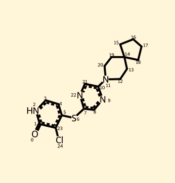 O=c1[nH]ccc(Sc2cnc(N3CCC4(CCCC4)CC3)cn2)c1Cl